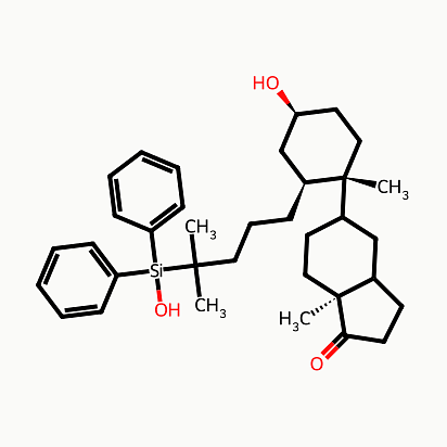 CC(C)(CCC[C@H]1C[C@@H](O)CC[C@]1(C)C1CC[C@]2(C)C(=O)CCC2C1)[Si](O)(c1ccccc1)c1ccccc1